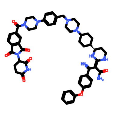 N=C(/C(C(N)=O)=C1/NCC[C@@H](C2CCC(N3CCN(Cc4ccc(N5CCN(C(=O)c6ccc7c(c6)C(=O)N(C6CCC(=O)NC6=O)C7=O)CC5)cc4)CC3)CC2)N1)c1ccc(Oc2ccccc2)cc1